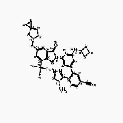 Cn1cnnc1-c1ccc(C#N)cc1-c1cc(NC2CCC2)nc(N2Cc3c(cc(CN4CCC5(CC5)C4)cc3C(F)(F)F)C2=O)c1